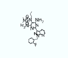 CCCN(c1c(N)nc(-c2nn(Cc3ccccc3F)c3ncccc23)nc1N)S(=O)(=O)N(C)C